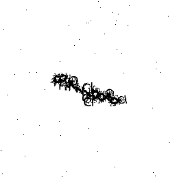 O=C(NCCNC(=O)c1c(Cl)cc2c(c1Cl)CCN(C(=O)c1cccc(Cl)c1)C2)N[C@@H]1CCc2ccccc21